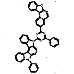 c1ccc(-c2nc(-c3ccc4c(ccc5oc6ccccc6c54)c3)nc(-n3c4ccccc4c4c5c6ccccc6n(-c6ccccc6)c5ccc43)n2)cc1